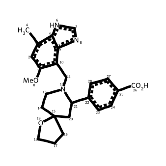 COc1cc(C)c2[nH]cnc2c1CN1CCC2(CCCO2)CC1c1ccc(C(=O)O)cc1